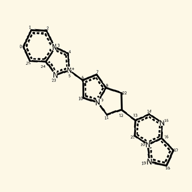 c1ccn2c[n+](-c3cc4n(c3)CC(c3cnc5ccnn5c3)C4)nc2c1